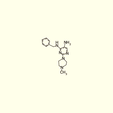 CN1CCN(c2ncc(N)c(NCc3ccccc3)n2)CC1